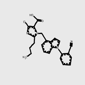 CCCCc1nc(Cl)c(C(=O)O)n1Cc1cccc2c1ccn2-c1ccccc1C#N